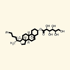 CC(C)CCC[C@@H](C)[C@H]1CC[C@H]2[C@@H]3CC=C4C[C@@H](OC(=O)[C@H](O)[C@@H](O)[C@H](O)[C@H](O)CO)CC[C@]4(C)[C@H]3CC[C@]12C